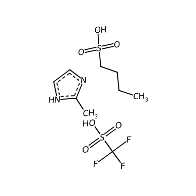 CCCCS(=O)(=O)O.Cc1ncc[nH]1.O=S(=O)(O)C(F)(F)F